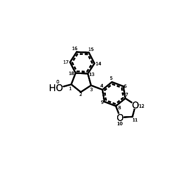 OC1CC(c2ccc3c(c2)OCO3)c2ccccc21